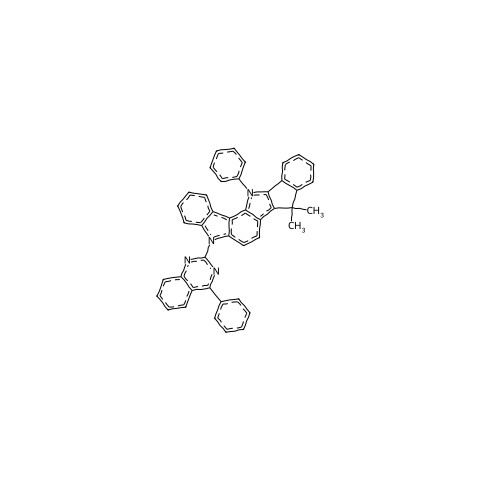 CC1(C)c2ccccc2-c2c1c1ccc3c(c4ccccc4n3-c3nc(-c4ccccc4)c4ccccc4n3)c1n2-c1ccccc1